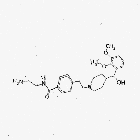 COc1cccc([C@H](O)C2CCN(CCc3ccc(C(=O)NCCN)cc3)CC2)c1OC